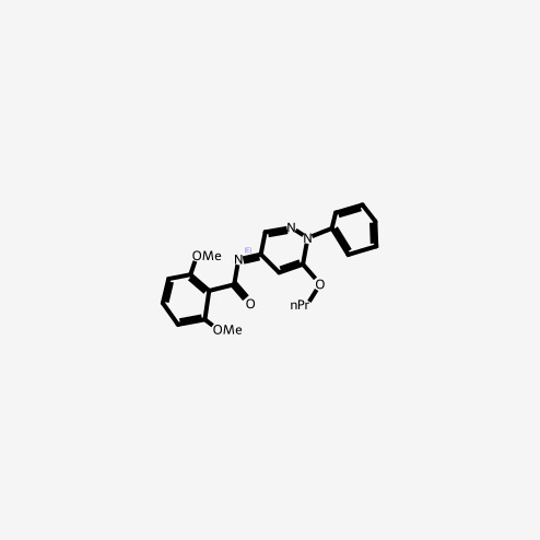 CCCOc1c/c(=N\C(=O)c2c(OC)cccc2OC)cnn1-c1ccccc1